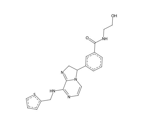 O=C(NCCO)c1cccc(C2CN=C3C(NCc4cccs4)=NC=CN32)c1